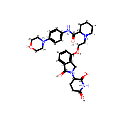 O=C1CCC(N2Cc3c(OCCN4CCCCC4C(=O)Nc4ccc(N5CCOCC5)cc4)cccc3C2=O)C(=O)N1